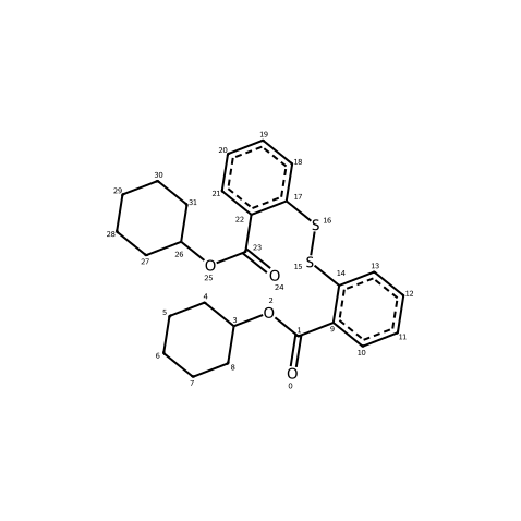 O=C(OC1CCCCC1)c1ccccc1SSc1ccccc1C(=O)OC1CCCCC1